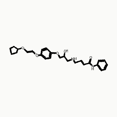 O=C(CCCNCC(O)COc1ccc(OCCOC2CCCC2)cc1)Nc1ccccc1